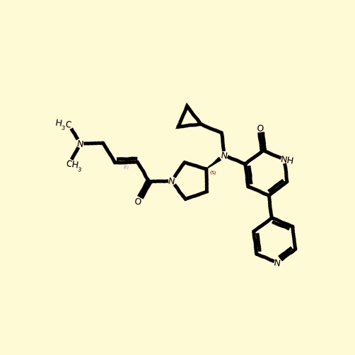 CN(C)C/C=C/C(=O)N1CC[C@H](N(CC2CC2)c2cc(-c3ccncc3)c[nH]c2=O)C1